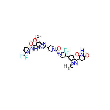 CC(C)Oc1cc2nc(C3CCN(C(=O)CN4CCC(c5ccc6c(C7CCC(=O)NC7=O)nn(C)c6c5)C(F)(F)C4)CC3)cn2cc1C(=O)Nc1cccc(C(F)F)n1